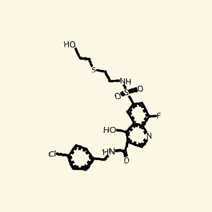 O=C(NCc1ccc(Cl)cc1)c1cnc2c(F)cc(S(=O)(=O)NCCSCCO)cc2c1O